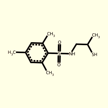 Cc1cc(C)c(S(=O)(=O)NCC(C)S)c(C)c1